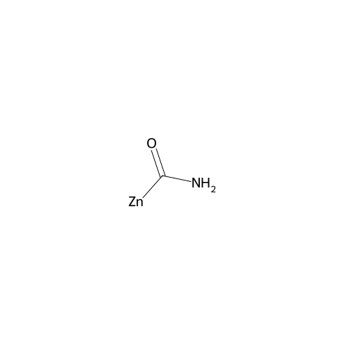 N[C](=O)[Zn]